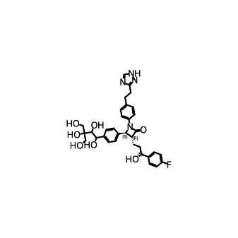 O=C1[C@H](CC[C@H](O)c2ccc(F)cc2)[C@@H](c2ccc(C(O)C(O)C(O)(CO)CO)cc2)N1c1ccc(CCc2nc[nH]n2)cc1